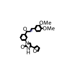 COc1ccc(/C=C/C(=O)c2cccc(-n3cc(-c4ccco4)[nH]c3=O)c2)cc1OC